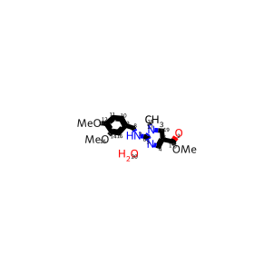 COC(=O)C1=CN=C(NCc2ccc(OC)c(OC)c2)N(C)C1.O